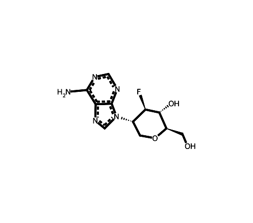 Nc1ncnc2c1ncn2[C@H]1CO[C@H](CO)[C@@H](O)[C@@H]1F